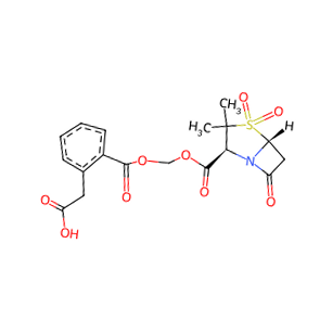 CC1(C)[C@H](C(=O)OCOC(=O)c2ccccc2CC(=O)O)N2C(=O)C[C@H]2S1(=O)=O